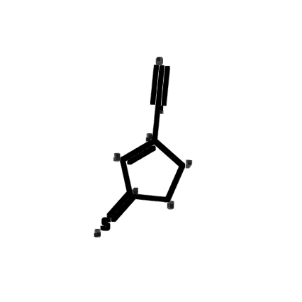 C#CC1=CC(=S)CC1